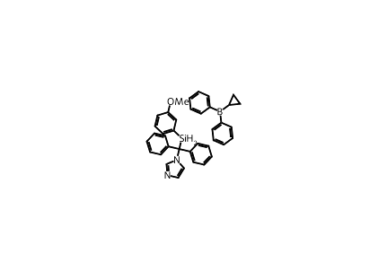 COc1cccc([SiH2]C(c2ccccc2)(c2ccccc2)n2ccnc2)c1.c1ccc(B(c2ccccc2)C2CC2)cc1